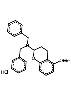 COc1cccc2c1CCC(N(Cc1ccccc1)Cc1ccccc1)O2.Cl